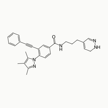 Cc1nn(-c2ccc(C(=O)NCCCC3=CCNN=C3)cc2C#Cc2ccccc2)c(C)c1C